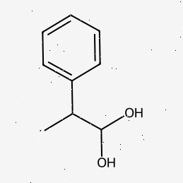 [CH2]C(c1ccccc1)C(O)O